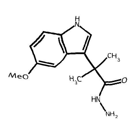 COc1ccc2[nH]cc(C(C)(C)C(=O)NN)c2c1